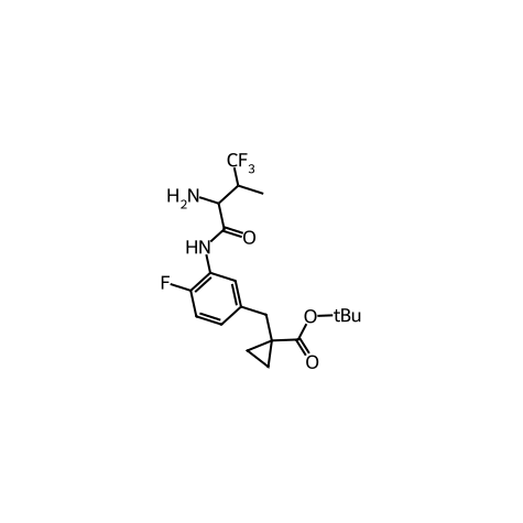 CC(C(N)C(=O)Nc1cc(CC2(C(=O)OC(C)(C)C)CC2)ccc1F)C(F)(F)F